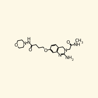 CNC(=O)CN1Cc2ccc(OCCCC(=O)NN3CCOCC3)cc2N=C1N